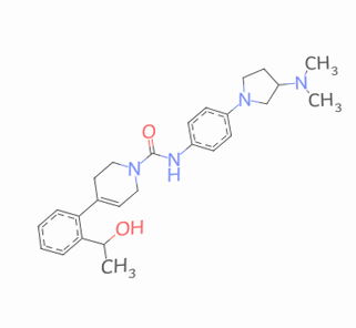 CC(O)c1ccccc1C1=CCN(C(=O)Nc2ccc(N3CCC(N(C)C)C3)cc2)CC1